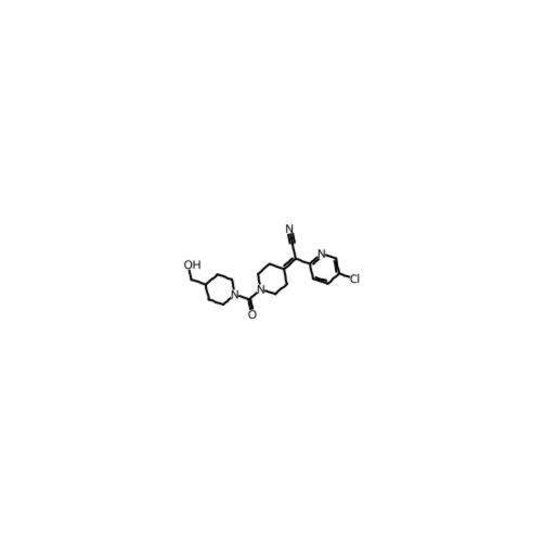 N#CC(=C1CCN(C(=O)N2CCC(CO)CC2)CC1)c1ccc(Cl)cn1